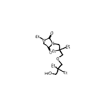 CCN1CC(=O)N(CC(CC)(CC)COCC(CC)(CC)CO)C1=O